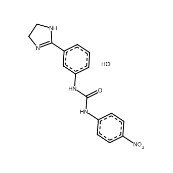 Cl.O=C(Nc1ccc([N+](=O)[O-])cc1)Nc1cccc(C2=NCCN2)c1